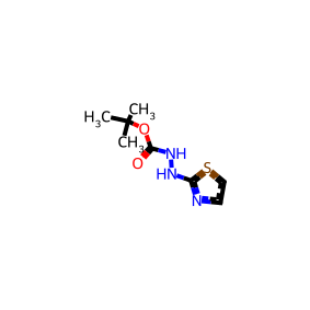 CC(C)(C)OC(=O)NNc1nccs1